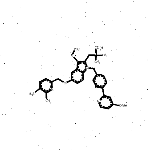 COc1ccnc(-c2ccc(Cn3c(CC(C)(C)C(=O)O)c(SC(C)(C)C)c4cc(OCc5ccc(C)c(C)n5)ccc43)cc2)c1